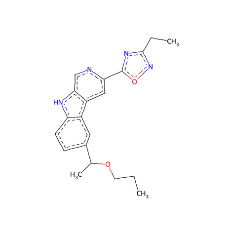 CCCOC(C)c1ccc2[nH]c3cnc(-c4nc(CC)no4)cc3c2c1